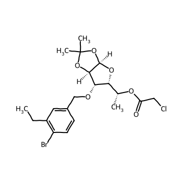 CCc1cc(CO[C@@H]2[C@H]3OC(C)(C)O[C@H]3O[C@@H]2[C@@H](C)OC(=O)CCl)ccc1Br